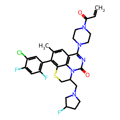 C=CC(=O)N1CCN(c2nc(=O)n3c4c(c(-c5cc(Cl)c(F)cc5F)c(C)cc24)SCC3CN2CCC(F)C2)CC1